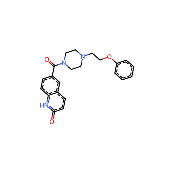 O=C(c1ccc2[nH]c(=O)ccc2c1)N1CCN(CCOc2ccccc2)CC1